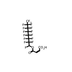 O=C(O)/C=C\C(=O)OC(F)C(F)(F)C(F)(F)C(F)(F)C(F)(F)C(F)(F)C(F)(F)C(F)(F)F